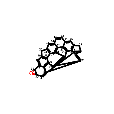 c1c2c3c4c(cc5c6c7c(cc8ccc9cc%10c%11c(c1C%10)c3c(c46)c1c%11c9c8c71)C5)C1OC21